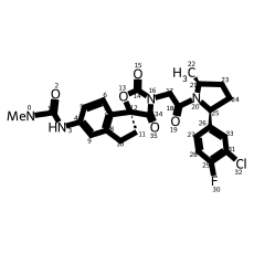 CNC(=O)Nc1ccc2c(c1)CC[C@@]21OC(=O)N(CC(=O)N2[C@@H](C)CC[C@H]2c2ccc(F)c(Cl)c2)C1=O